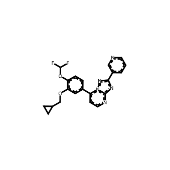 FC(F)Oc1ccc(-c2ccnc3nc(-c4cccnc4)nn23)cc1OCC1CC1